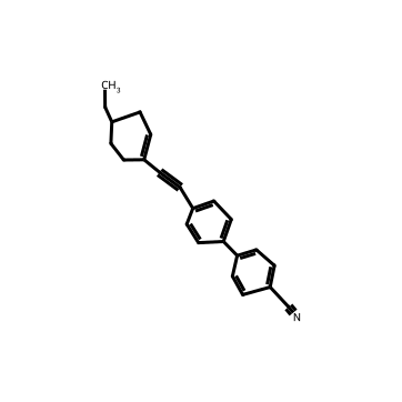 CCC1CC=C(C#Cc2ccc(-c3ccc(C#N)cc3)cc2)CC1